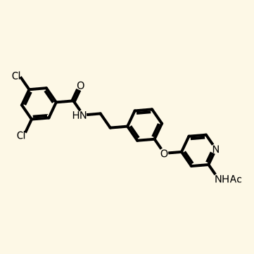 CC(=O)Nc1cc(Oc2cccc(CCNC(=O)c3cc(Cl)cc(Cl)c3)c2)ccn1